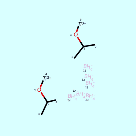 CC(C)[O][Ti+3].CC(C)[O][Ti+3].[BH4-].[BH4-].[BH4-].[BH4-].[BH4-].[BH4-]